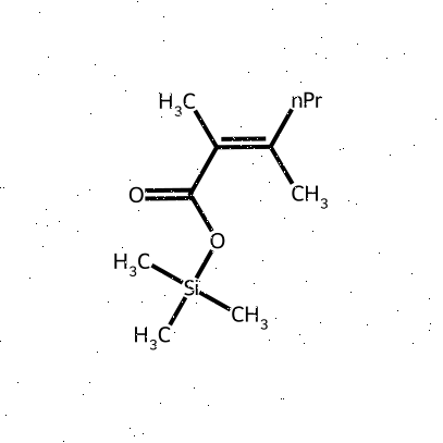 CCC/C(C)=C(\C)C(=O)O[Si](C)(C)C